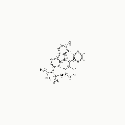 C/C(N)=C(\c1cnc2c3ccc(Cl)nc3n([C@@H](c3ccccc3)C3CCOCC3)c2c1)N(C)N